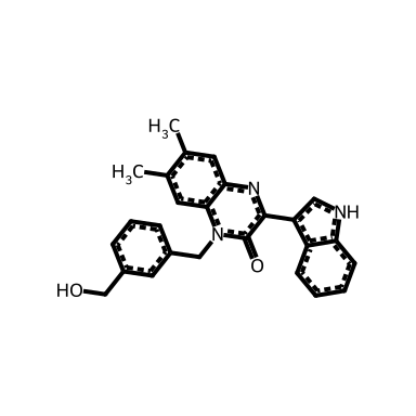 Cc1cc2nc(-c3c[nH]c4ccccc34)c(=O)n(Cc3cccc(CO)c3)c2cc1C